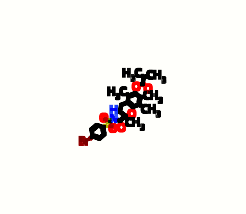 Cc1c(C)c2c(c(C)c1OC(=O)C(C)C)CCC(C)(C(=O)NS(=O)(=O)c1ccc(Br)cc1)O2